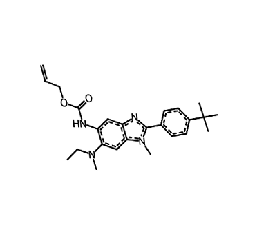 C=CCOC(=O)Nc1cc2nc(-c3ccc(C(C)(C)C)cc3)n(C)c2cc1N(C)CC